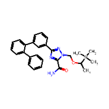 CC(OCn1nc(-c2cccc(-c3ccccc3-c3ccccc3)c2)nc1C(N)=O)[Si](C)(C)C